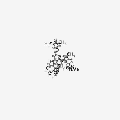 CNS(=O)(=O)c1ccc2c(c1)c(N1C[C@@H](C)n3c(c(CCCOc4cc(C)c(Cl)c(C)c4)c4ccc(Cl)c(-c5c(C)nn(C)c5C)c43)C1=O)cn2C